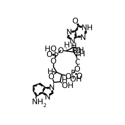 Nc1cccc2c1ncn2[C@@H]1O[C@@H]2COP(=O)(O)O[C@@H]3[C@H](O)[C@@H](COP(=O)(O)O[C@H]2[C@H]1O)O[C@H]3n1cnc2c(=O)[nH]cnc21